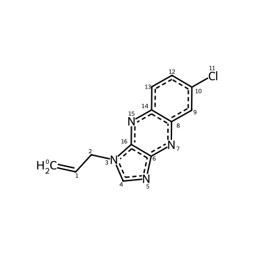 C=CCn1cnc2nc3cc(Cl)ccc3nc21